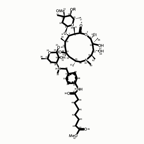 CC[C@H]1OC(=O)[C@H](C)[C@@H](O[C@H]2C[C@@](C)(OC)[C@@H](O)[C@H](C)O2)[C@H](C)[C@@H](O[C@@H]2O[C@H](C)C[C@H](N(C)Cc3ccc(NC(=O)CCCCCCC(=O)OC)cc3)[C@H]2O)[C@](C)(O)C[C@@H](C)CN(C)[C@H](C)[C@@H](O)[C@]1(C)O